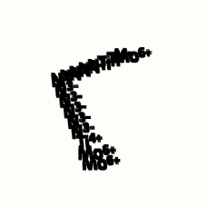 [Mo+6].[Mo+6].[Mo+6].[N-3].[N-3].[N-3].[N-3].[N-3].[N-3].[N-3].[N-3].[N-3].[N-3].[Ti+4].[Ti+4].[Ti+4]